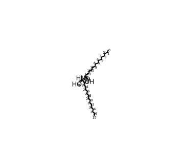 CCCCCCCCCCCCCCCC(=O)NC(CO)C(O)CCCCCCCCCCCCCCC